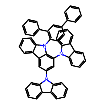 c1ccc(-c2ccc(-n3c4ccccc4c4cc(-n5c6ccccc6c6ccccc65)cc(-n5c6ccccc6c6ccccc65)c43)c(-c3ccccc3)c2)cc1